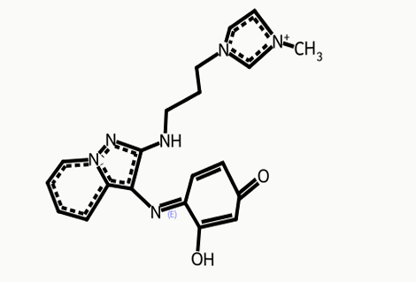 C[n+]1ccn(CCCNc2nn3ccccc3c2/N=C2\C=CC(=O)C=C2O)c1